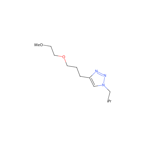 COCCOCCCc1cn(CC(C)C)nn1